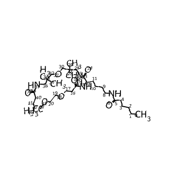 CCCCCC(=O)NCCCC[C@@H](NC(=O)CCOCCOC)C(=O)NCC(C)(C)COCC(C)(C)CNC(=O)CCC